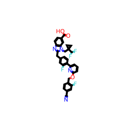 N#Cc1ccc(COc2cccc(-c3ccc(Cc4nc5ccc(C(=O)O)cc5n4CC4(C(F)F)CC4)cc3F)n2)c(F)c1